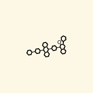 c1ccc(-c2ccc(-c3c4ccccc4c(-c4ccc(-c5c6ccccc6cc6c5oc5ccccc56)cc4)c4ccccc34)cc2)cc1